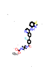 CC(C)(C)OC(=O)N1CC2(C1)CN(C(=O)c1ccc(-c3ccc4c(Nc5cccc6scnc56)ccnc4c3)c(F)c1)C2